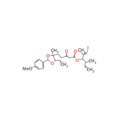 C=CC(C)C(OC(=O)CC(=O)CCC1(C)OC(c2ccc(OC)cc2)OC1C=C)/C(C)=C/I